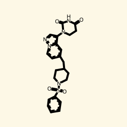 O=C1CCN(c2cnn3ccc(CC4CCN(S(=O)(=O)c5ccccc5)CC4)cc23)C(=O)N1